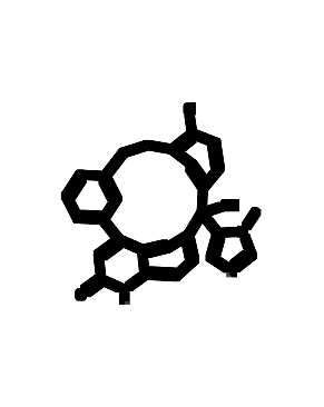 Cn1cncc1C1(O)c2ccc(Cl)c(c2)CCc2cccc(c2)-c2cc(=O)[nH]c3ccc1cc23